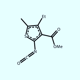 CCc1c(C)sc(N=C=O)c1C(=O)OC